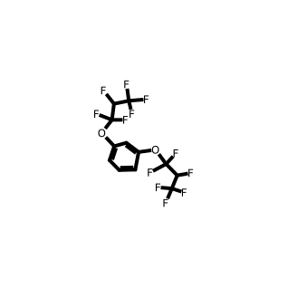 FC(C(F)(F)F)C(F)(F)Oc1cccc(OC(F)(F)C(F)C(F)(F)F)c1